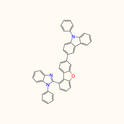 c1ccc(-n2c(-c3cccc4oc5cc(-c6ccc7c(c6)c6ccccc6n7-c6ccccc6)ccc5c34)nc3ccccc32)cc1